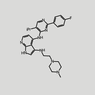 CC(C)c1cnc(-c2ccc(F)cc2)nc1Nc1ccnc2[nH]cc(NCCN3CCN(C)CC3)c12